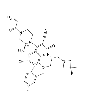 C=CC(=O)N1CCN(c2c(C#N)c(=O)n3c4c(c(-c5ccc(F)cc5F)c(Cl)cc24)OCC3CN2CC(F)(F)C2)[C@@H](C)C1